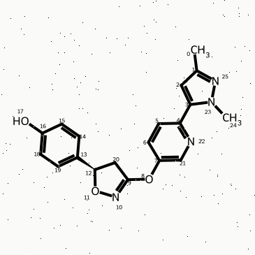 Cc1cc(-c2ccc(OC3=NO[C@@H](c4ccc(O)cc4)C3)cn2)n(C)n1